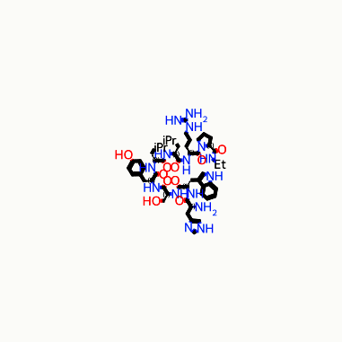 CCNC(=O)[C@@H]1CCCN1C(=O)[C@H](CCCNC(=N)N)NC(=O)[C@H](CC(C)C)NC(=O)[C@@H](CC(C)C)NC(=O)[C@H](Cc1ccc(O)cc1)NC(=O)[C@H](CO)NC(=O)[C@H](Cc1c[nH]c2ccccc12)NC(=O)[C@@H](N)Cc1c[nH]cn1